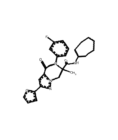 CC1(C(=O)NC2CCCCCC2)Cn2nc(-c3ccco3)cc2C(=O)N1c1cccc(F)c1